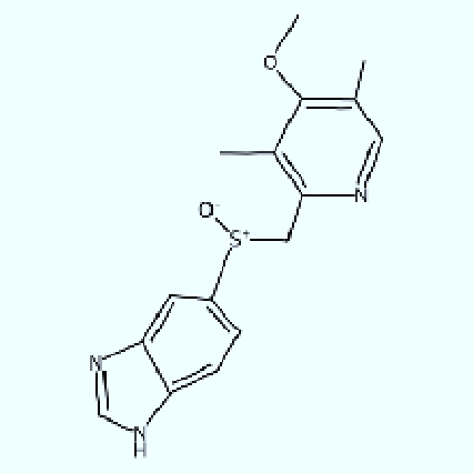 COc1c(C)cnc(C[S+]([O-])c2ccc3[nH]cnc3c2)c1C